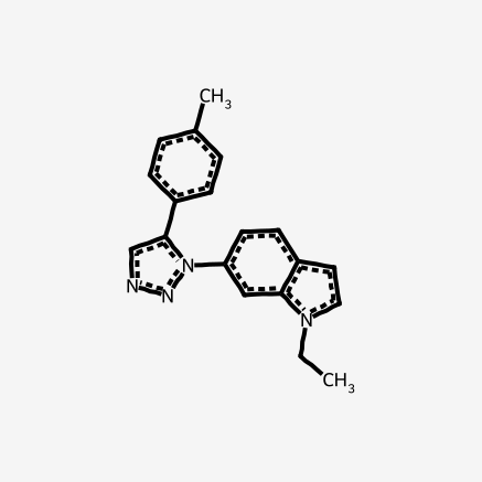 CCn1ccc2ccc(-n3nncc3-c3ccc(C)cc3)cc21